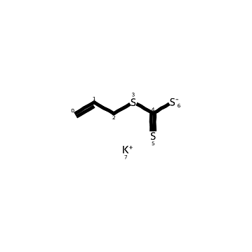 C=CCSC(=S)[S-].[K+]